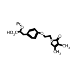 CC1=C(C)C(=O)N(CCOc2ccc(CC(OC(C)C)C(=O)O)cc2)C1